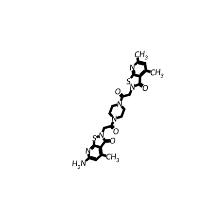 Cc1cc(C)c2c(=O)n(CC(=O)N3CCN(C(=O)Cn4sc5nc(N)cc(C)c5c4=O)CC3)sc2n1